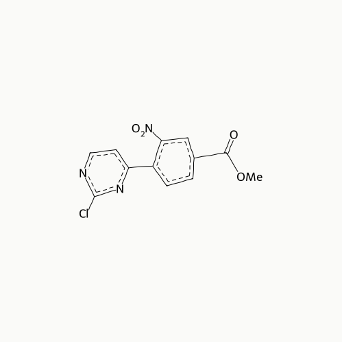 COC(=O)c1ccc(-c2ccnc(Cl)n2)c([N+](=O)[O-])c1